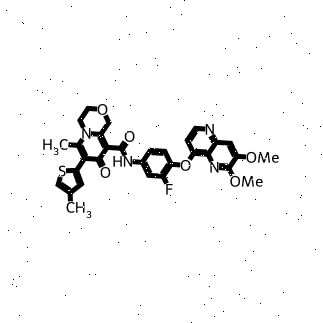 COc1cc2nccc(Oc3ccc(NC(=O)c4c5n(c(C)c(-c6cc(C)cs6)c4=O)CCOC5)cc3F)c2nc1OC